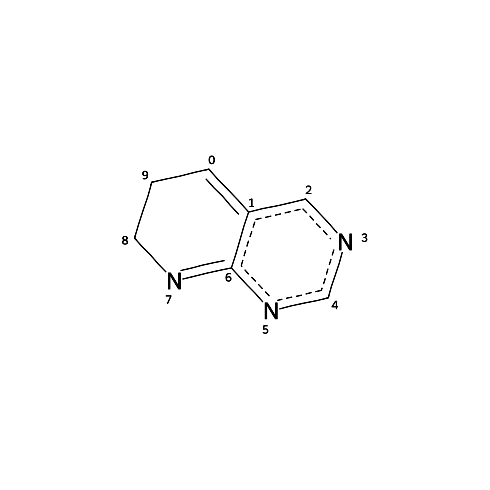 C1=c2cncnc2=NCC1